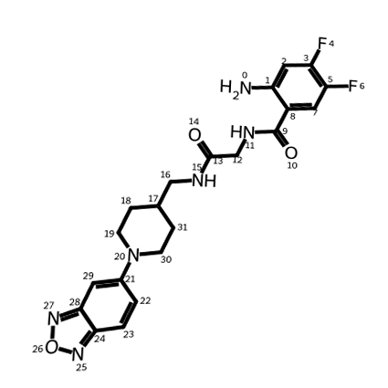 Nc1cc(F)c(F)cc1C(=O)NCC(=O)NCC1CCN(c2ccc3nonc3c2)CC1